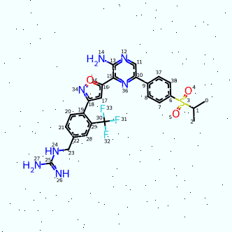 CC(C)S(=O)(=O)c1ccc(-c2cnc(N)c(-c3cc(-c4ccc(CNC(=N)N)cc4C(F)(F)F)no3)n2)cc1